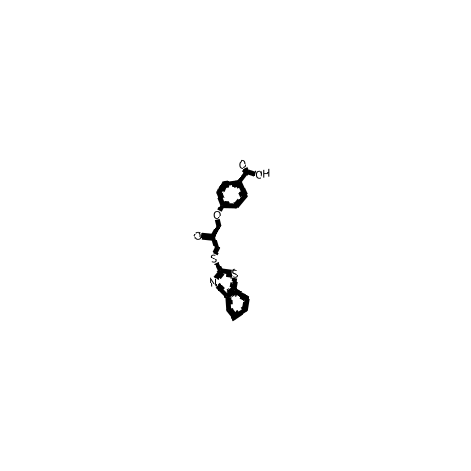 O=C(COc1ccc(C(=O)O)cc1)CSc1nc2ccccc2s1